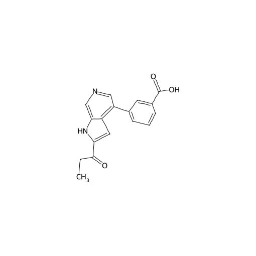 CCC(=O)c1cc2c(-c3cccc(C(=O)O)c3)cncc2[nH]1